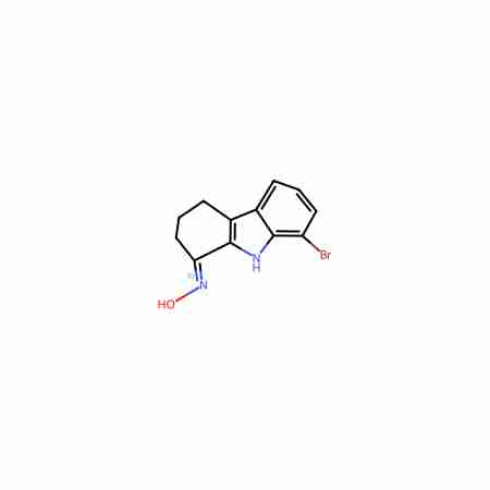 O/N=C1\CCCc2c1[nH]c1c(Br)cccc21